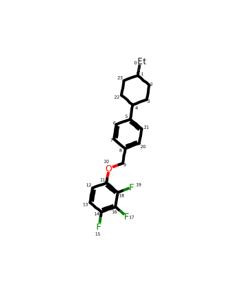 CCC1CCC(c2ccc(COc3ccc(F)c(F)c3F)cc2)CC1